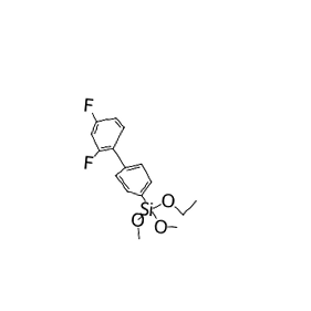 CCO[Si](OC)(OC)c1ccc(-c2ccc(F)cc2F)cc1